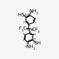 Nc1ccc(C(c2ccc(N)c(S)c2)(C(F)(F)F)C(F)(F)F)cc1S